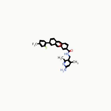 Cc1cc(N)nc(C)c1CNC(=O)c1ccc2c(c1)c1oc2c2ccc(-c3ccc(C(F)(F)F)cc3F)cc21